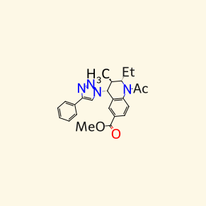 CC[C@H]1[C@H](C)[C@@H](n2cc(-c3ccccc3)nn2)c2cc(C(=O)OC)ccc2N1C(C)=O